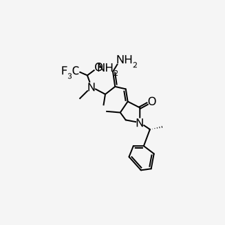 CC1CN([C@H](C)c2ccccc2)C(=O)/C1=C/C(=C\N)C(C)N(C)C(ON)C(F)(F)F